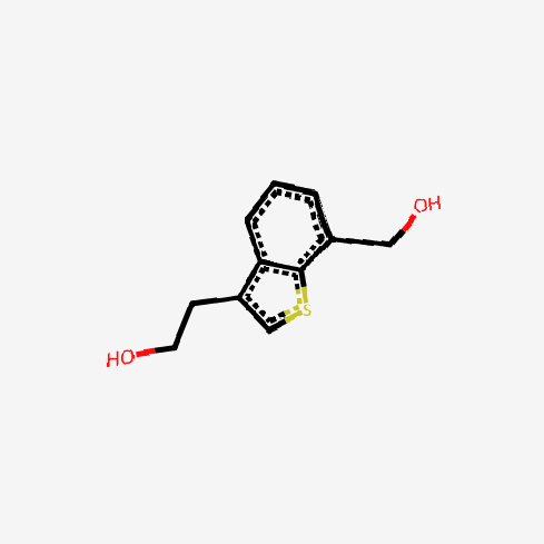 OCCc1csc2c(CO)cccc12